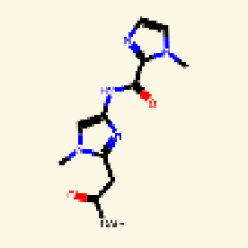 COC(=O)Cc1nc(NC(=O)c2nccn2C)cn1C